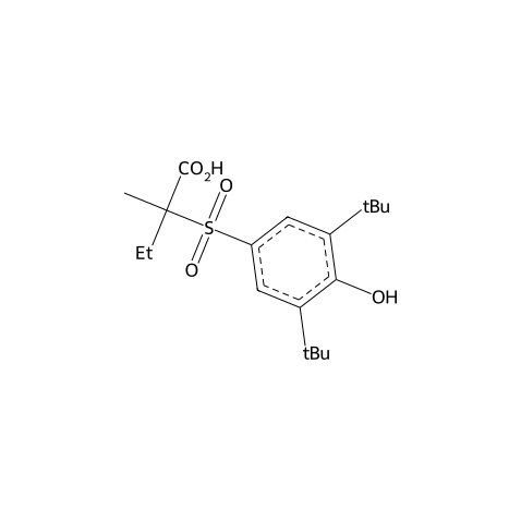 CCC(C)(C(=O)O)S(=O)(=O)c1cc(C(C)(C)C)c(O)c(C(C)(C)C)c1